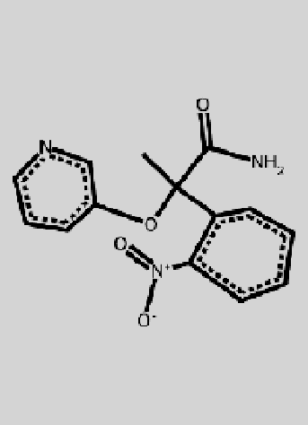 CC(Oc1cccnc1)(C(N)=O)c1ccccc1[N+](=O)[O-]